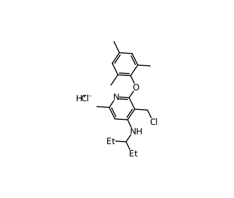 CCC(CC)Nc1cc(C)nc(Oc2c(C)cc(C)cc2C)c1CCl.[Cl-].[H+]